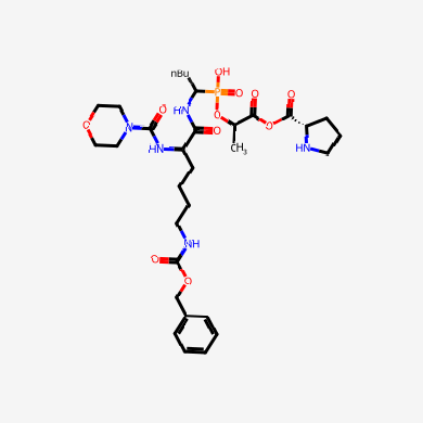 CCCCC(NC(=O)C(CCCCNC(=O)OCc1ccccc1)NC(=O)N1CCOCC1)P(=O)(O)OC(C)C(=O)OC(=O)[C@@H]1CCCN1